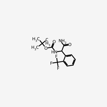 CC(C)(C)OC(=O)NC(C(N)=O)c1ccccc1C(F)(F)F